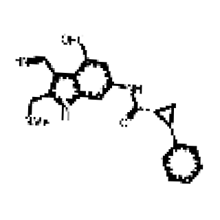 CNCc1[nH]c2cc(NC(=O)[C@@H]3C[C@H]3c3ccccc3)cc(C=O)c2c1C=N